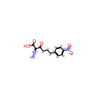 [N-]=[N+]=C(C(=O)O)C(=O)CCCc1ccc([N+](=O)[O-])cc1